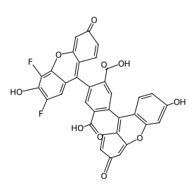 O=C(O)c1cc(-c2c3ccc(=O)cc-3oc3c(F)c(O)c(F)cc23)c(C(=O)O)cc1-c1c2ccc(=O)cc-2oc2cc(O)ccc12